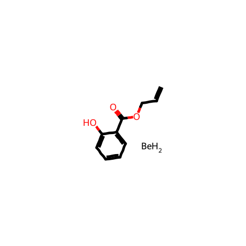 C=CCOC(=O)c1ccccc1O.[BeH2]